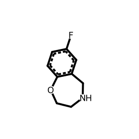 Fc1ccc2c(c1)CNCCO2